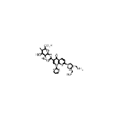 CC1C(C(=O)O)OC(OC(=O)c2cn(-c3nccs3)c3nc(N4C[C@H](CN)[C@@H](CO)C4)ccc3c2=O)C(O)C1O